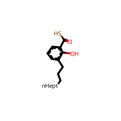 CCCCCCCCCCc1cccc(C(=O)S)c1O